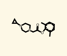 Cc1cccc(C)c1OC(=O)CN1CCN(C2CC2)CC1